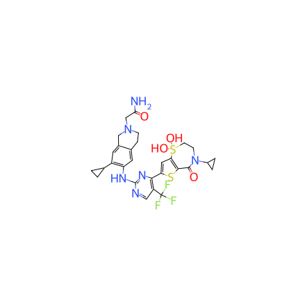 NC(=O)CN1CCc2cc(Nc3ncc(C(F)(F)F)c(-c4cc5c(s4)C(=O)N(C4CC4)CCS5(O)O)n3)c(C3CC3)cc2C1